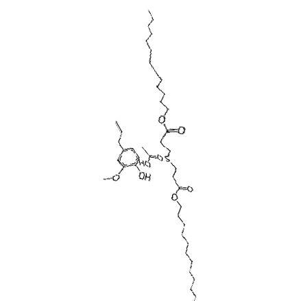 C=CCc1ccc(O)c(OC)c1.CC(=O)O.CCCCCCCCCCCCOC(=O)CCSCCC(=O)OCCCCCCCCCCCC